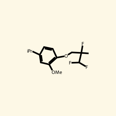 COc1cc(C(C)C)ccc1OCC(C)(F)C(F)F